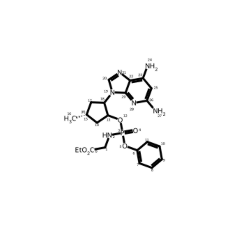 CCOC(=O)CNP(=O)(Oc1ccccc1)OC1C[C@H](C)CC1n1cnc2c(N)cc(N)nc21